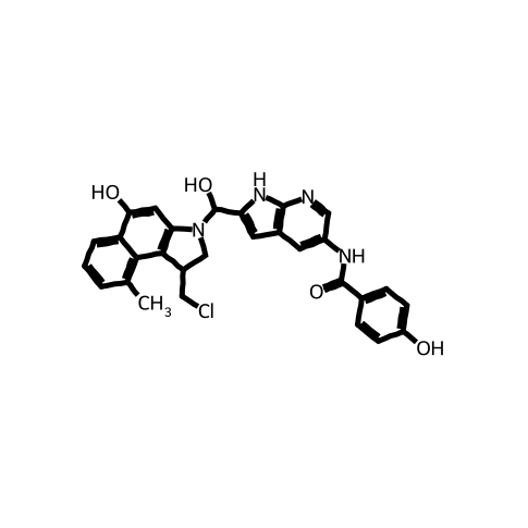 Cc1cccc2c(O)cc3c(c12)C(CCl)CN3C(O)c1cc2cc(NC(=O)c3ccc(O)cc3)cnc2[nH]1